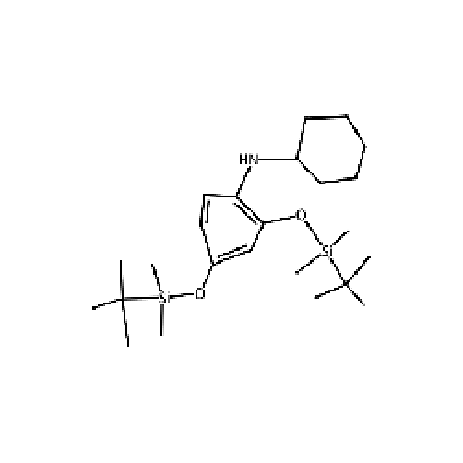 CC(C)(C)[Si](C)(C)Oc1ccc(NC2CCCCC2)c(O[Si](C)(C)C(C)(C)C)c1